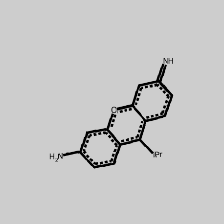 CC(C)c1c2ccc(=N)cc-2oc2cc(N)ccc12